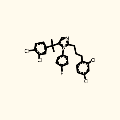 CC(C)(c1ccc(Cl)c(Cl)c1)c1cnc(CCCc2ccc(Cl)cc2Cl)n1-c1ccc(F)cc1